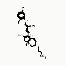 O=C(O)CCC[C@H]1CC[C@@H]2[C@@H](C=C[C@H](O)COc3cc(F)ccc3F)[C@H](O)C[C@@H]2OC1